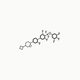 Fc1cc(C2CCC(C3CCC3)CO2)ccc1-c1cc(F)c(C(F)(F)Oc2cc(F)c(F)c(F)c2)c(F)c1